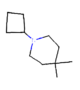 CC1(C)CCN(C2CCC2)CC1